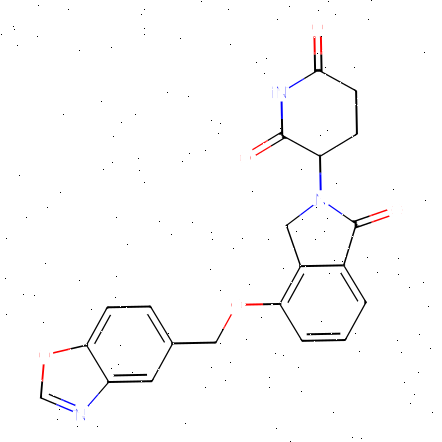 O=C1CCC(N2Cc3c(OCc4ccc5ocnc5c4)cccc3C2=O)C(=O)N1